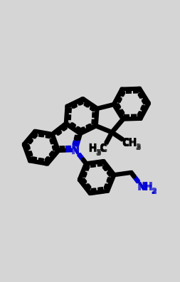 CC1(C)c2ccccc2-c2ccc3c4ccccc4n(-c4cccc(CN)c4)c3c21